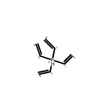 C=C[PH](C=C)(C=C)C=C